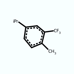 Cc1ccc(C(C)C)cc1C(F)(F)F